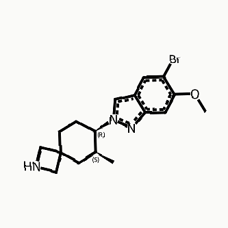 COc1cc2nn([C@@H]3CCC4(CNC4)C[C@@H]3C)cc2cc1Br